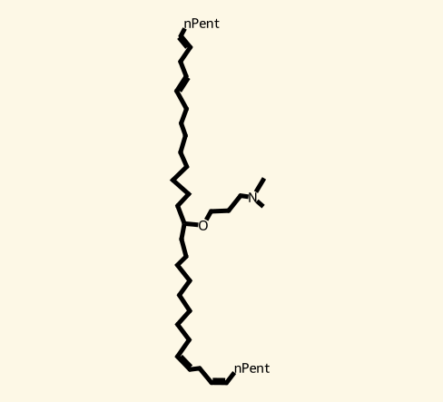 CCCCC/C=C\C/C=C\CCCCCCCCC(CCCCCCCC/C=C/C/C=C/CCCCC)OCCCN(C)C